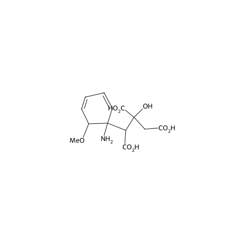 COC1C=CC=CC1(N)C(C(=O)O)C(O)(CC(=O)O)C(=O)O